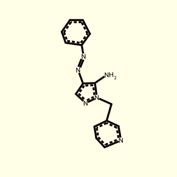 Nc1c(N=Nc2ccccc2)cnn1Cc1cccnc1